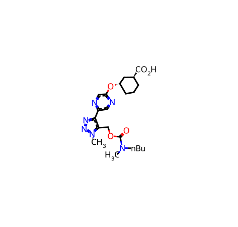 CCCCN(C)C(=O)OCc1c(-c2cnc(O[C@H]3CCC[C@H](C(=O)O)C3)cn2)nnn1C